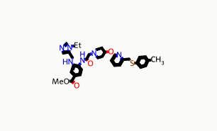 CCn1cncc1CNc1cc(C(=O)OC)ccc1NC(=O)CN1CCC(Oc2cccc(CSc3ccc(C)cc3)n2)CC1